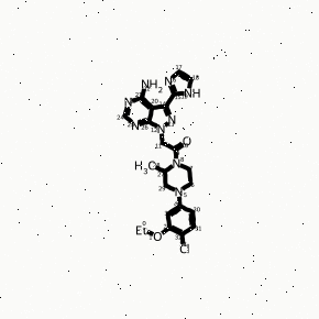 CCOc1cc(N2CCN(C(=O)Cn3nc(-c4ncc[nH]4)c4c(N)ncnc43)C(C)C2)ccc1Cl